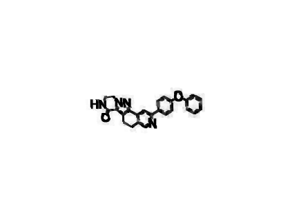 O=C1NCCn2nc3c(c21)CCc1cnc(-c2ccc(Oc4ccccc4)cc2)cc1-3